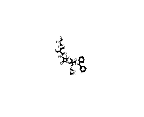 O=CNc1nc(C(=CI)C(=O)NC2C(=O)N3CC(CSc4nncs4)(C(=O)OC(c4ccccc4)c4ccccc4)CS[C@H]23)cs1